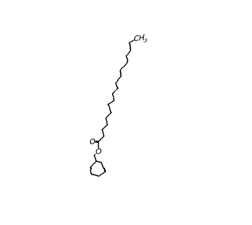 CCCCCCCCCCCCCCCCCC(=O)OCC1CCCCC1